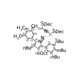 CCCCCCCCC1=C(c2cc(CCCC)c(CCCC)c(CCCC)c2)[N+](=[N-])C(c2cc(C)c(C)c(C)c2)=C1CCCC.CCCCCCCCCC[CH2][Ni][CH2]CCCCCCCCCC